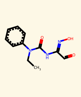 CCN(C(=O)NC([C]=O)=NO)c1ccccc1